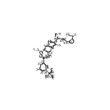 CCOc1cc2nc([C@@H](F)[C@@H]3CCOC3)cn2cc1NC(=O)c1cccc(C(F)(F)F)n1